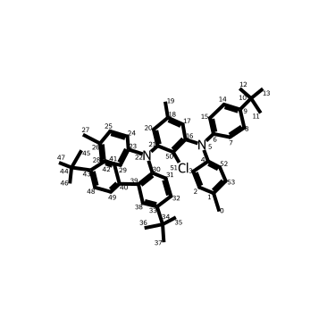 Cc1ccc(N(c2ccc(C(C)(C)C)cc2)c2cc(C)cc(N(c3ccc(C)cc3)c3ccc(C(C)(C)C)cc3-c3ccc(C(C)(C)C)cc3)c2Cl)cc1